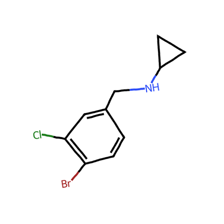 Clc1cc(CNC2CC2)ccc1Br